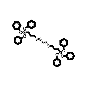 c1ccc(O[Si](CCCSSSSSCCC[Si](Oc2ccccc2)(Oc2ccccc2)Oc2ccccc2)(Oc2ccccc2)Oc2ccccc2)cc1